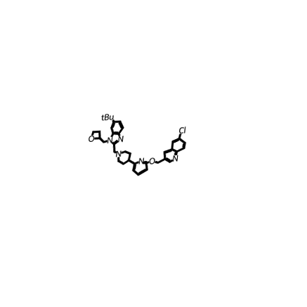 CC(C)(C)c1ccc2nc(CN3CCC(c4cccc(OCc5cnc6ccc(Cl)cc6c5)n4)CC3)n(CC3CCO3)c2c1